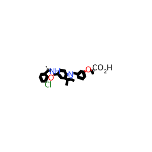 Cc1c(C)n(Cc2cccc(O[C@@H](C)C(=O)O)c2)c2ccc(C(=O)N[C@@H](C)c3cccc(Cl)c3)cc12